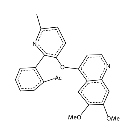 COc1cc2nccc(Oc3ccc(C)nc3-c3ccccc3C(C)=O)c2cc1OC